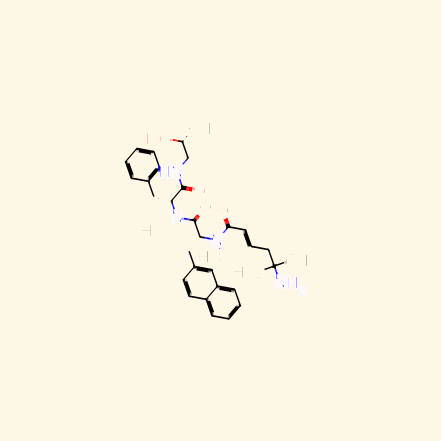 C[C@H](O)CNC(=O)[C@@H](Cc1ccccc1)N(C)C(=O)[C@@H](Cc1ccc2ccccc2c1)N(C)C(=O)/C=C/CC(C)(C)N